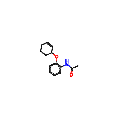 CC(=O)Nc1ccccc1OC1C=CCCC1